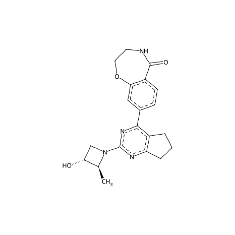 C[C@H]1[C@H](O)CN1c1nc2c(c(-c3ccc4c(c3)OCCNC4=O)n1)CCC2